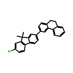 CC1(C)c2cc(Br)ccc2-c2ccc(-c3ccc4c(c3)-c3ccccc3CC4)cc21